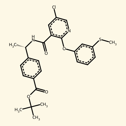 CSc1cccc(Oc2ncc(Cl)cc2C(=O)N[C@@H](C)c2ccc(C(=O)OC(C)(C)C)cc2)c1